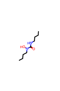 CCCCNC(=O)N(O)CCCC